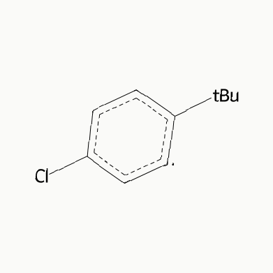 CC(C)(C)c1[c]cc(Cl)cc1